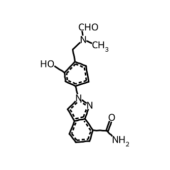 CN(C=O)Cc1ccc(-n2cc3cccc(C(N)=O)c3n2)cc1O